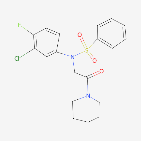 O=C(CN(c1ccc(F)c(Cl)c1)S(=O)(=O)c1ccccc1)N1CCCCC1